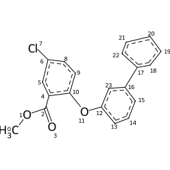 COC(=O)c1cc(Cl)ccc1Oc1cccc(-c2ccccc2)c1